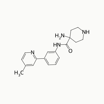 Cc1ccnc(-c2cccc(NC(=O)C3(N)CCNCC3)c2)c1